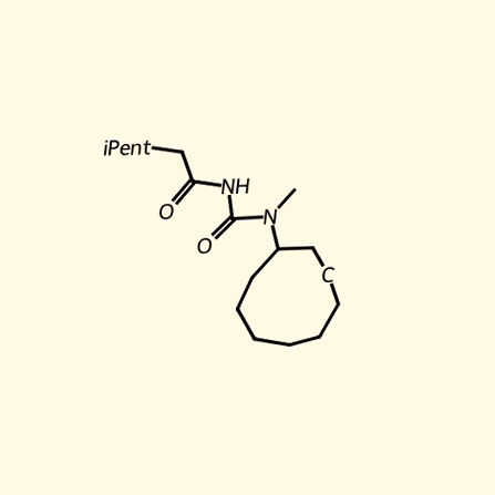 CCCC(C)CC(=O)NC(=O)N(C)C1CCCCCCCC1